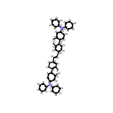 CC1=C(c2ccc(N(c3ccccc3)c3ccccc3)cc2C)CCC(/C=C/c2ccc(-c3ccc(N(c4ccccc4)c4ccccc4)cc3C)c(C)c2)=C1